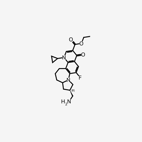 CCOC(=O)c1cn(C2CC2)c2c3c(c(F)cc2c1=O)N1C[C@@H](CN)CC1CCC3